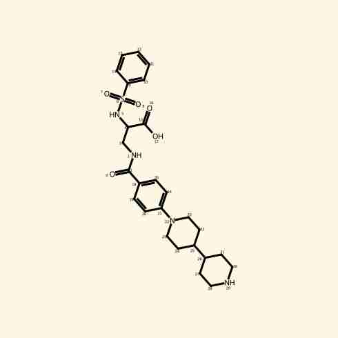 O=C(NCC(NS(=O)(=O)c1ccccc1)C(=O)O)c1ccc(N2CCC(C3CCNCC3)CC2)cc1